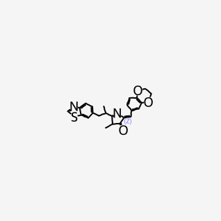 CC(Cc1ccc2ncsc2c1)C1=N/C(=C\c2ccc3c(c2)OCCO3)C(=O)C1C